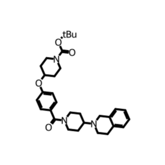 CC(C)(C)OC(=O)N1CCC(Oc2ccc(C(=O)N3CCC(N4CCc5ccccc5C4)CC3)cc2)CC1